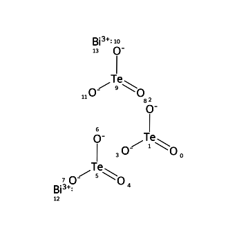 O=[Te]([O-])[O-].O=[Te]([O-])[O-].O=[Te]([O-])[O-].[Bi+3].[Bi+3]